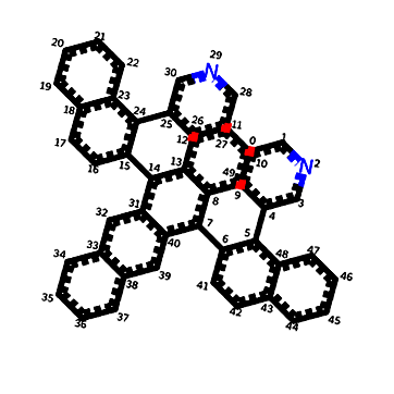 c1cncc(-c2c(-c3c4ccccc4c(-c4ccc5ccccc5c4-c4cccnc4)c4cc5ccccc5cc34)ccc3ccccc23)c1